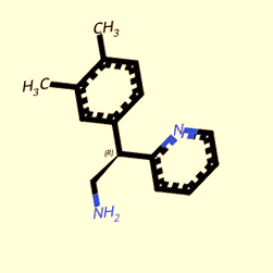 Cc1ccc([C@H](CN)c2ccccn2)cc1C